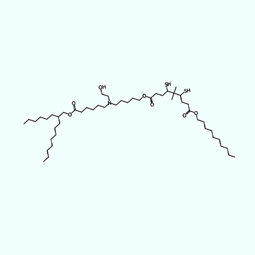 CCCCCCCCCCOC(=O)CCC(S)C(C)(C)C(S)CCC(=O)OCCCCCN(CCO)CCCCCC(=O)OCC(CCCCCC)CCCCCCCC